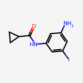 Nc1cc(I)cc(NC(=O)C2CC2)c1